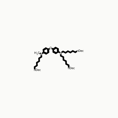 CCCCCCCCCCCCCCCCN(C)c1ccc(Oc2ccc(N(CCCCCCCCCCCCCCCC)CCCCCCCCCCCCCCCC)cc2)cc1